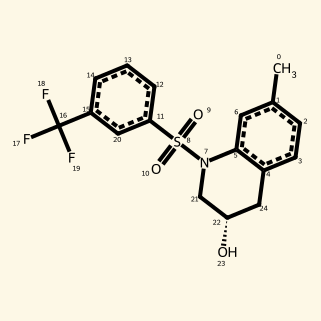 Cc1ccc2c(c1)N(S(=O)(=O)c1cccc(C(F)(F)F)c1)C[C@@H](O)C2